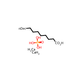 CCCCCCCCCCCCCCCCCC(=O)O.O=P(O)(O)O.[CaH2].[CaH2]